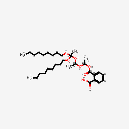 CCCCCCCCCOC(C)(OCCCCCCCCC)OC(C)OC(C)OC(=O)c1ccccc1C(=O)O